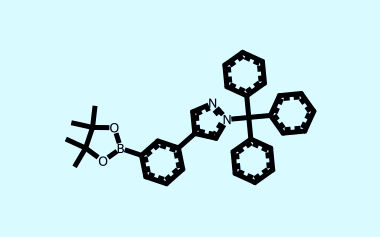 CC1(C)OB(c2cccc(-c3cnn(C(c4ccccc4)(c4ccccc4)c4ccccc4)c3)c2)OC1(C)C